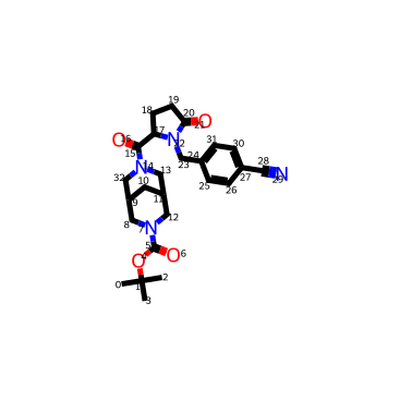 CC(C)(C)OC(=O)N1CC2CC(C1)CN(C(=O)C1CCC(=O)N1Cc1ccc(C#N)cc1)C2